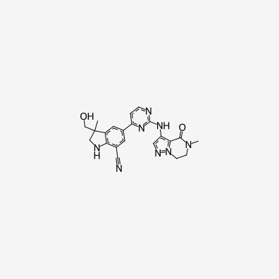 CN1CCn2ncc(Nc3nccc(-c4cc(C#N)c5c(c4)C(C)(CO)CN5)n3)c2C1=O